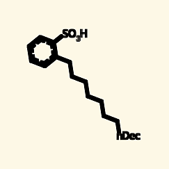 CCCCCCCCCCCCCCCCCc1ccccc1S(=O)(=O)O